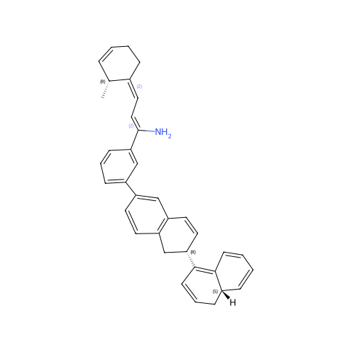 C[C@@H]1C=CCC/C1=C/C=C(\N)c1cccc(-c2ccc3c(c2)C=C[C@H](C2=C4C=CC=C[C@@H]4CC=C2)C3)c1